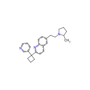 CC1CCCN1CCc1ccc2nc(C3(c4cccnc4)CCC3)ccc2c1